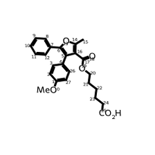 COc1ccc(-c2c(-c3ccccc3)oc(C)c2C(=O)OCCCCCC(=O)O)cc1